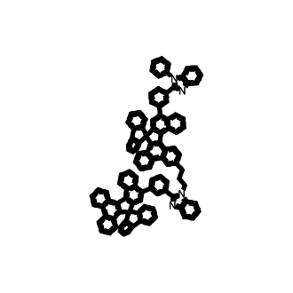 c1ccc(-n2c(-c3cccc(-c4cc5c(c6ccccc46)-c4c(c6ccccc6c6cc(CCCn7c(-c8cccc(-c9cc%10c(c%11ccccc9%11)-c9c(c%11ccccc%11c%11ccccc9%11)C%109c%10ccccc%10-c%10ccccc%109)c8)nc8ccccc87)ccc46)C54c5ccccc5-c5ccccc54)c3)nc3ccccc32)cc1